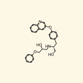 OC[C@H](Cc1ccc(Oc2cnc3ccccc3c2)cc1)NC[C@H](O)COc1ccccc1